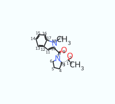 CC(=O)[C@@H]1CCCN1C(=O)c1cc2ccccc2n1C